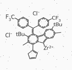 Cc1cc2c(cc1C(C)(C)C)=c1c(c(C3=CC=CC3)c(C)c(C(C)(C)C)c1=C(c1ccc(C(F)(F)F)cc1)c1ccc(C(F)(F)F)cc1)[C]=2[Zr+2].[Cl-].[Cl-]